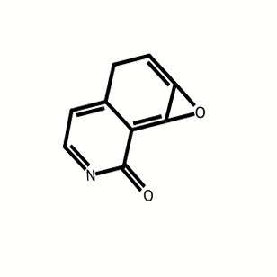 O=C1N=CC=C2CC=C3OC3=C12